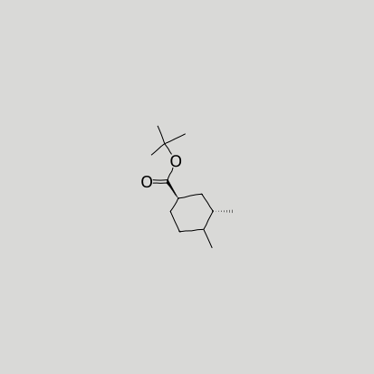 CC1CC[C@@H](C(=O)OC(C)(C)C)C[C@@H]1C